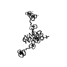 COc1ccccc1Oc1c(OCCOC(=O)CCCC(CO[N+](=O)[O-])O[N+](=O)[O-])nc(-c2ncccn2)nc1N(C(C)OC(=O)OCCCCO[N+](=O)[O-])S(=O)(=O)c1ccc(C(C)(C)C)cc1